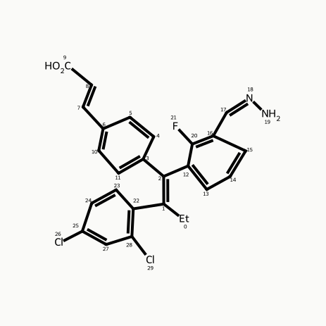 CC/C(=C(/c1ccc(/C=C/C(=O)O)cc1)c1cccc(/C=N\N)c1F)c1ccc(Cl)cc1Cl